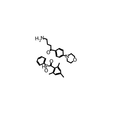 Cc1cc(C)c(C(=O)[PH](=O)c2ccccc2)c(C)c1.NCCCC(=O)c1ccc(N2CCOCC2)cc1